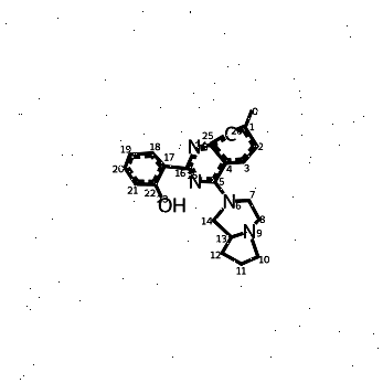 Cc1ccc2c(N3CCN4CCCC4C3)nc(-c3ccccc3O)nc2c1